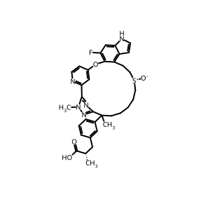 C[C@@H](Cc1cccc(C2(C)CCCCC[S+]([O-])CCc3c(c(F)cc4[nH]ccc34)Oc3ccnc(c3)-c3nc2nn3C)c1)C(=O)O